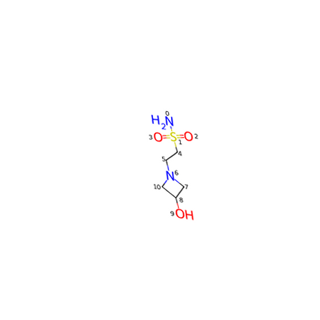 NS(=O)(=O)CCN1CC(O)C1